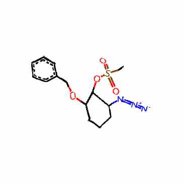 CS(=O)(=O)OC1C(N=[N+]=[N-])CCCC1OCc1ccccc1